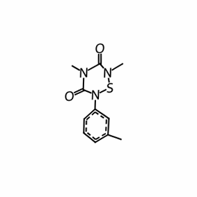 Cc1cccc(N2SN(C)C(=O)N(C)C2=O)c1